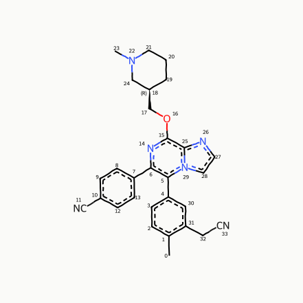 Cc1ccc(-c2c(-c3ccc(C#N)cc3)nc(OC[C@@H]3CCCN(C)C3)c3nccn23)cc1CC#N